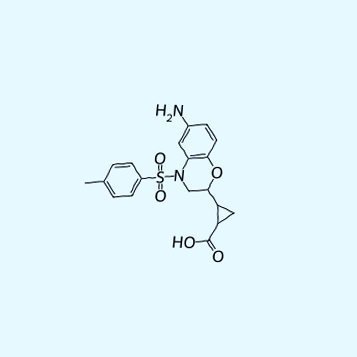 Cc1ccc(S(=O)(=O)N2CC(C3CC3C(=O)O)Oc3ccc(N)cc32)cc1